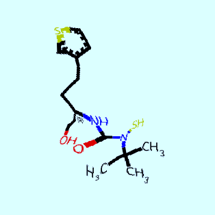 CC(C)(C)N(S)C(=O)N[C@@H](CO)CCc1ccsc1